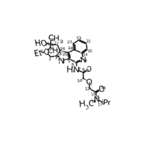 CCOCC1=Nc2c(NC(=O)COCC(=O)N(C)C(C)C)nc3ccccc3c2C1CC(C)(C)O